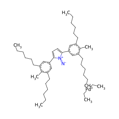 CCCCCCc1cc(C2=CC=C(c3cc(CCCCCC)c(C)c(CCCCCC)c3)[N+]2=[N-])cc(CCCCCC)c1C.C[CH2][Pd][CH2]C